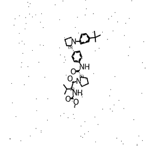 COC(=O)N[C@H](C(=O)N1CCC[C@H]1C(=O)Nc1ccc([C@@H]2CCCN2c2ccc(C(C)(C)C)cc2)cc1)C(C)C